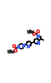 Cc1cn(C(=O)OC(C)(C)C)c2cc(-c3ccc(N4CCN(C(=O)OC(C)(C)C)CC4)nc3)cnc12